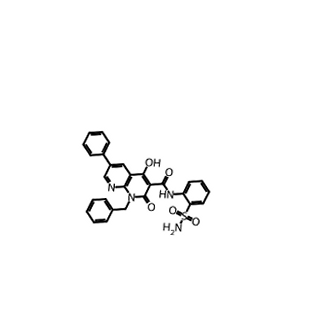 NS(=O)(=O)c1ccccc1NC(=O)c1c(O)c2cc(-c3ccccc3)cnc2n(Cc2ccccc2)c1=O